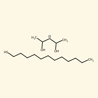 CC(O)NC(C)O.CCCCCCCCCCCCS